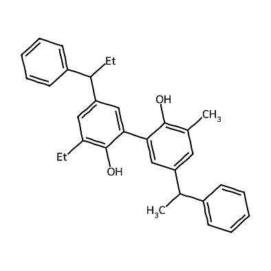 CCc1cc(C(CC)c2ccccc2)cc(-c2cc(C(C)c3ccccc3)cc(C)c2O)c1O